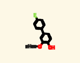 CCCCCCOc1cc(-c2ccc(F)cc2)ccc1O